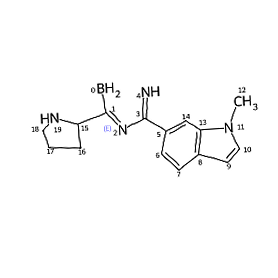 B/C(=N\C(=N)c1ccc2ccn(C)c2c1)C1CCCN1